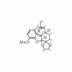 COc1ccc2c3c1O[C@@H]1C4(CC[C@@H]5C(C2)N(C)CC[C@]351)OCCO4